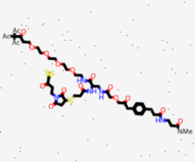 CNC(=O)CCNC(=O)CCc1ccc(CC(=O)COCC(=O)NCC(NC(=O)CCSC2CC(=O)N(CCC(=O)C3SS3)C2=O)C(=O)NCCOCCOCCOCCOCCC(=O)C(C(C)=O)(C(C)=O)C(C)=O)cc1